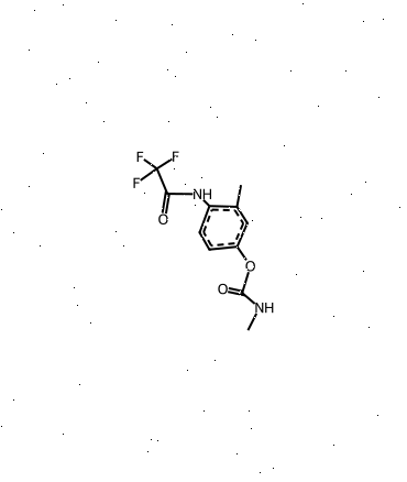 CNC(=O)Oc1ccc(NC(=O)C(F)(F)F)c(C)c1